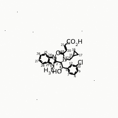 Cn1c([C@@H]([C@H](O)c2cccc(Cl)c2)N(CC2CC2)C(=O)C=CC(=O)O)nc2ccccc21